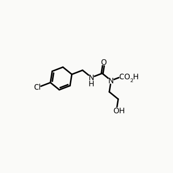 O=C(O)N(CCO)C(=O)NCC1C=CC(Cl)=CC1